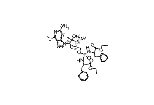 CCOC(=O)C(Cc1ccccc1)NP(=O)(NC(Cc1ccccc1)C(=O)OCC)OC[C@H]1O[C@@H](n2cnc3c(OC)nc(N)nc32)C(C)(O)[C@H]1O